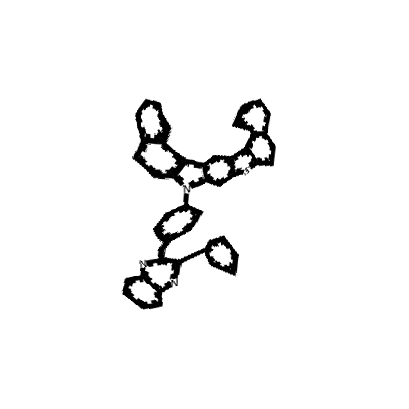 c1ccc(-c2nc3ccccc3nc2-c2ccc(-n3c4cc5sc6ccc7ccccc7c6c5cc4c4c5ccccc5ccc43)cc2)cc1